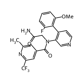 COc1cccc(F)c1-c1ccncc1N(CC(N)=O)C(=O)c1cc(C)nc(C(F)(F)F)c1